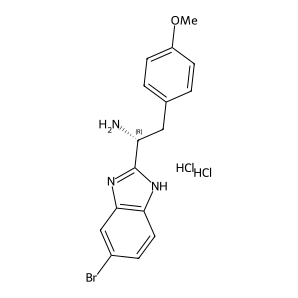 COc1ccc(C[C@@H](N)c2nc3cc(Br)ccc3[nH]2)cc1.Cl.Cl